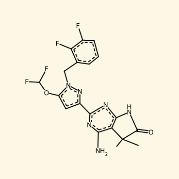 CC1(C)C(=O)Nc2nc(-c3cc(OC(F)F)n(Cc4cccc(F)c4F)n3)nc(N)c21